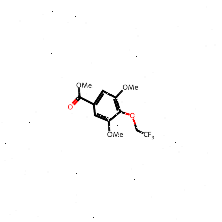 COC(=O)c1cc(OC)c(OCC(F)(F)F)c(OC)c1